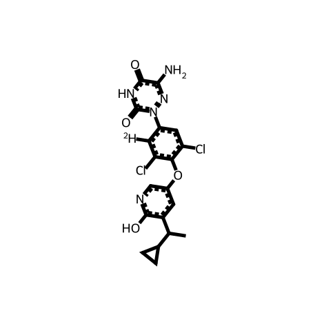 [2H]c1c(-n2nc(N)c(=O)[nH]c2=O)cc(Cl)c(Oc2cnc(O)c(C(C)C3CC3)c2)c1Cl